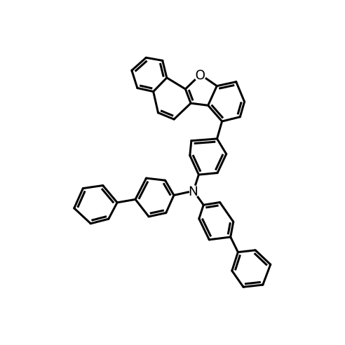 c1ccc(-c2ccc(N(c3ccc(-c4ccccc4)cc3)c3ccc(-c4cccc5oc6c7ccccc7ccc6c45)cc3)cc2)cc1